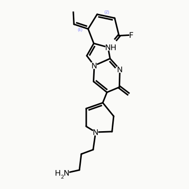 C=C(F)/C=C\C(=C/C)C1=CN2C=C(C3=CCN(CCCN)CC3)C(=C)N=C2N1